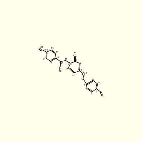 O=c1cc(OCc2ccc(F)cc2)ccn1CC(F)c1ccc(Br)cc1